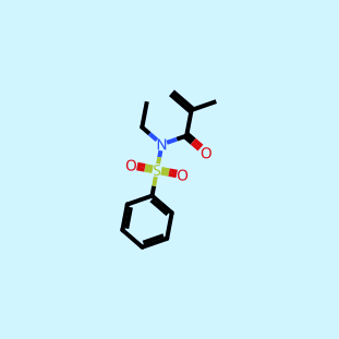 C=C(C)C(=O)N(CC)S(=O)(=O)c1ccccc1